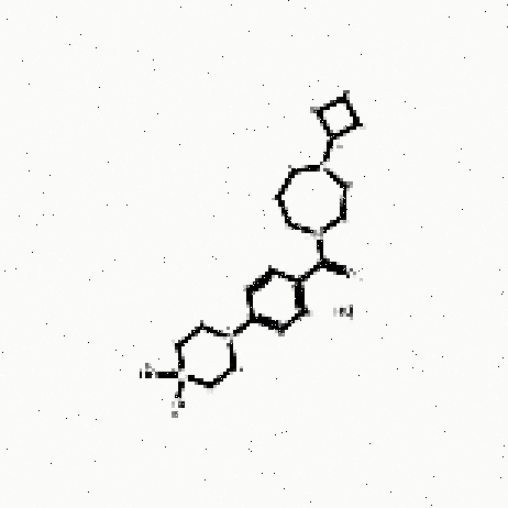 Cl.O=C(c1ccc(N2CCS(O)(O)CC2)cc1)N1CCCN(C2CCC2)CC1